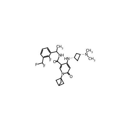 CC(NC(=O)c1cn(C23CC(C2)C3)c(=O)cc1N[C@H]1C[C@@H](N(C)C)C1)c1cccc(C(F)F)c1F